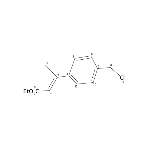 CCOC(=O)C=C(C)c1ccc(CCl)cc1